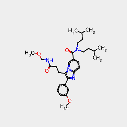 COCNC(=O)CCc1c(-c2cccc(OC)c2)nc2ccc(C(=O)N(CCC(C)C)CCC(C)C)cn12